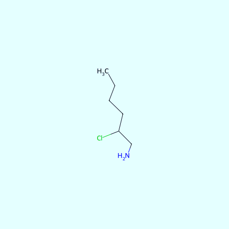 CCCCC(Cl)CN